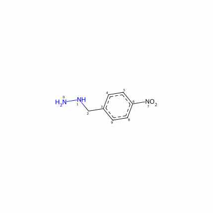 NNCc1ccc([N+](=O)[O-])cc1